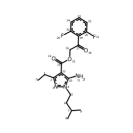 CCc1nn(CCC(C)C)c(N)c1C(=O)OCC(=O)c1c(F)cccc1F